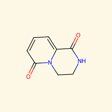 O=C1NCCn2c1cccc2=O